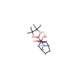 CC1(C)OB(C2=CC3CCC(C2)N3C(=O)O)OC1(C)C